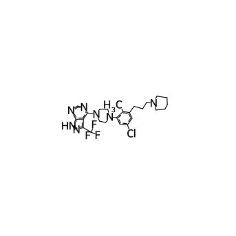 Cc1c(CCCN2CCCCC2)cc(Cl)cc1N1CCN(c2ncnc3[nH]nc(C(F)(F)F)c23)CC1